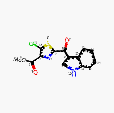 COC(=O)c1nc(C(=O)c2c[nH]c3ccccc23)sc1Cl